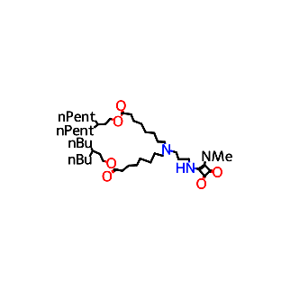 CCCCCC(CCCCC)CCOC(=O)CCCCCCCN(CCCCCCCC(=O)OCCC(CCCC)CCCC)CCCNc1c(NC)c(=O)c1=O